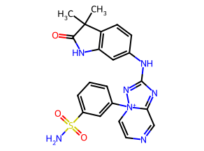 CC1(C)C(=O)Nc2cc(NC3=N[N+]4(c5cccc(S(N)(=O)=O)c5)C=CN=CC4=N3)ccc21